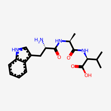 CC(C)[C@H](NC(=O)[C@H](C)NC(=O)[C@@H](N)Cc1c[nH]c2ccccc12)C(=O)O